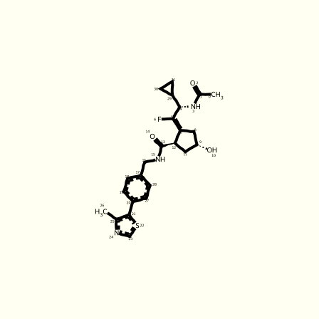 CC(=O)N[C@H](/C(F)=C1\C[C@H](O)C[C@H]1C(=O)NCc1ccc(-c2scnc2C)cc1)C1CC1